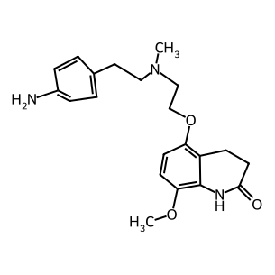 COc1ccc(OCCN(C)CCc2ccc(N)cc2)c2c1NC(=O)CC2